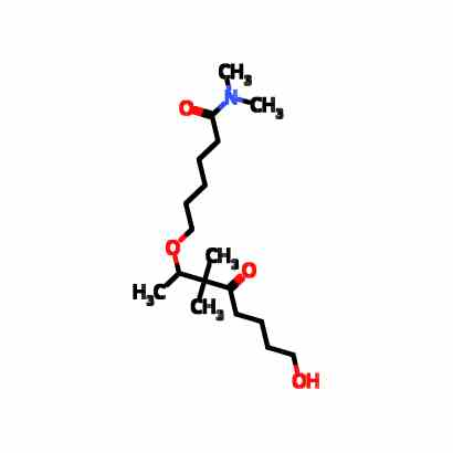 CC(OCCCCCC(=O)N(C)C)C(C)(C)C(=O)CCCCO